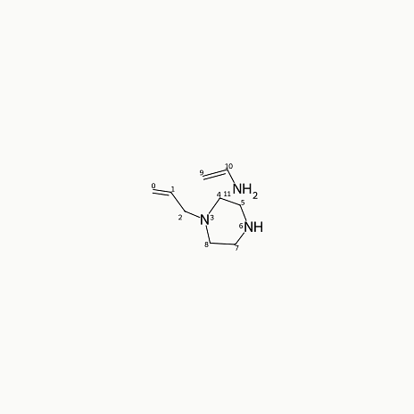 C=CCN1CCNCC1.C=CN